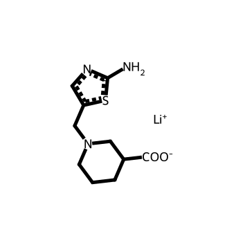 Nc1ncc(CN2CCCC(C(=O)[O-])C2)s1.[Li+]